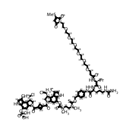 CSC1=CC(=O)N(CCOCCOCCOCCOCCOCCOCCC(=O)N[C@H](C(=O)N[C@@H](CCCNC(N)=O)C(=O)Nc2ccc(COC(=S)N(C)CCN(C)C(=S)Oc3cc4c(c5c(C)c[nH]c35)[C@H](CCl)CN4C(=O)C34CC(C(=O)N5C[C@@H](CCl)c6c5cc(OP(=O)(O)O)c5[nH]cc(C)c65)(C3)C4)cc2)C(C)C)C1=O